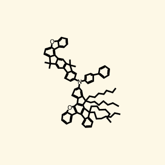 CCCCCCCC1(CCCCCCC)c2cc(N(c3ccc(-c4ccccc4)cc3)c3ccc4c(c3)C(C)(C)c3cc5c(cc3-4)C(C)(C)c3ccc4oc6ccccc6c4c3-5)ccc2-c2c1c1c(c3c2oc2ccccc23)-c2ccccc2C1(CCCCCCC)CCCCCCC